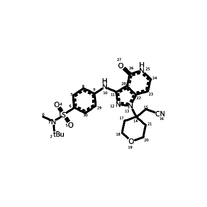 CN(C(C)(C)C)S(=O)(=O)c1ccc(Nc2nn(C3(CC#N)CCOCC3)c3cc[nH]c(=O)c23)cc1